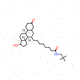 CC(C)(C)CNC(=O)CCCCCCCC1CC2CC(=O)CC[C@]2(C)[C@@H]2CC[C@]3(C)C(O)CC[C@H]3[C@H]12